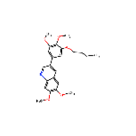 CCCCOc1cc(-c2cnc3cc(OC)c(OC)cc3c2)cc(OC)c1OC